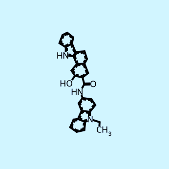 CCn1c2ccccc2c2cc(NC(=O)c3cc4ccc5c6ccccc6[nH]c5c4cc3O)ccc21